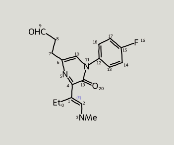 CC/C(=C\NC)c1nc(CCC=O)cn(-c2ccc(F)cc2)c1=O